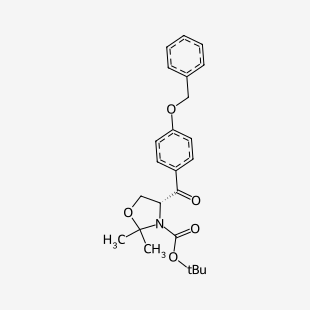 CC(C)(C)OC(=O)N1[C@@H](C(=O)c2ccc(OCc3ccccc3)cc2)COC1(C)C